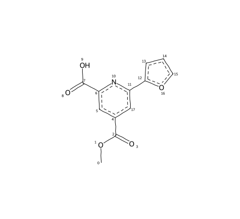 COC(=O)c1cc(C(=O)O)nc(-c2ccco2)c1